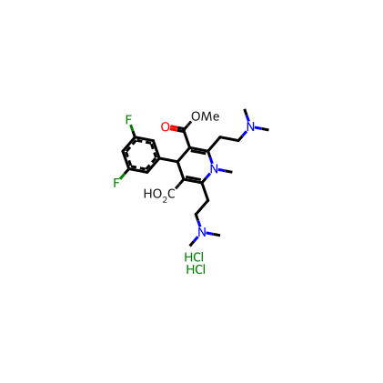 COC(=O)C1=C(CCN(C)C)N(C)C(CCN(C)C)=C(C(=O)O)C1c1cc(F)cc(F)c1.Cl.Cl